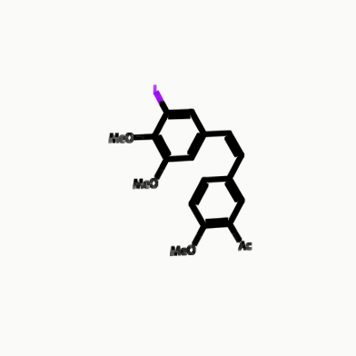 COc1ccc(/C=C\c2cc(I)c(OC)c(OC)c2)cc1C(C)=O